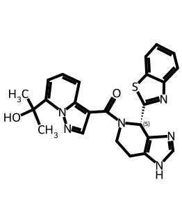 CC(C)(O)c1cccc2c(C(=O)N3CCc4[nH]cnc4[C@H]3c3nc4ccccc4s3)cnn12